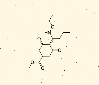 CCCC(NOCC)=C1C(=O)CC(C(=O)OC)CC1=O